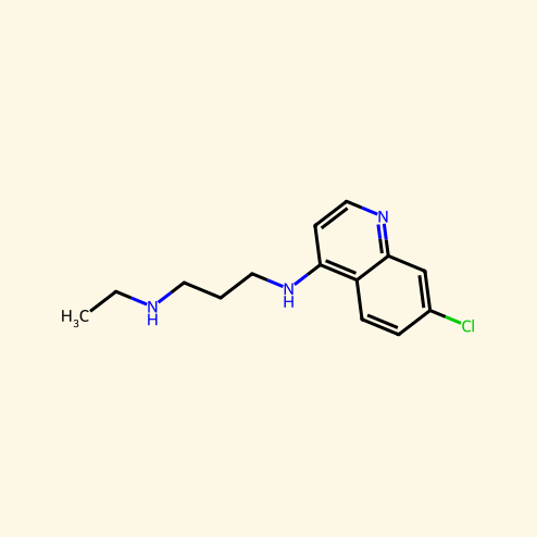 CCNCCCNc1ccnc2cc(Cl)ccc12